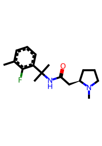 Cc1cccc(C(C)(C)NC(=O)C[C@H]2CCCN2C)c1F